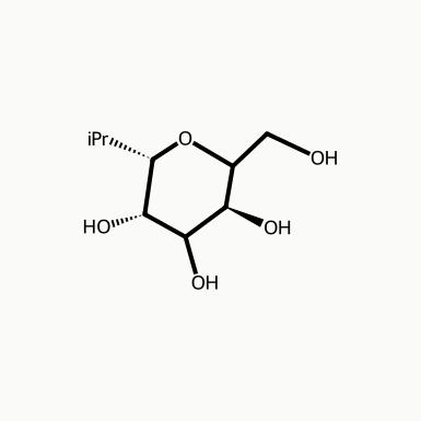 CC(C)[C@@H]1OC(CO)[C@@H](O)C(O)[C@@H]1O